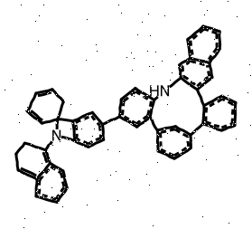 C1=CCC2(C=C1)c1cc(-c3ccc4c(c3)-c3cccc(c3)-c3ccccc3-c3cc5ccccc5cc3N4)ccc1N2C1=c2ccccc2=CCC1